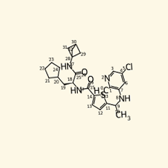 Cc1ncc(Cl)cc1NC(C)c1ccc(C(=O)N[C@@H](CC2CCCC2)C(=O)NC23CC(C2)C3)s1